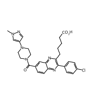 Cn1cc(N2CCN(C(=O)c3ccc4nc(-c5ccc(Cl)cc5)c(CCCCC(=O)O)nc4c3)CC2)cn1